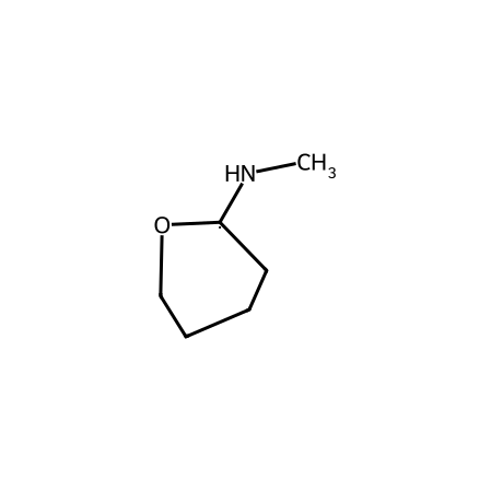 CN[C]1CCCCO1